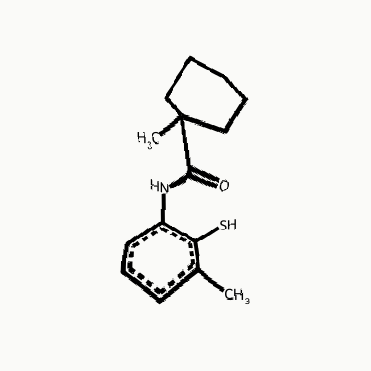 Cc1cccc(NC(=O)C2(C)CCCCC2)c1S